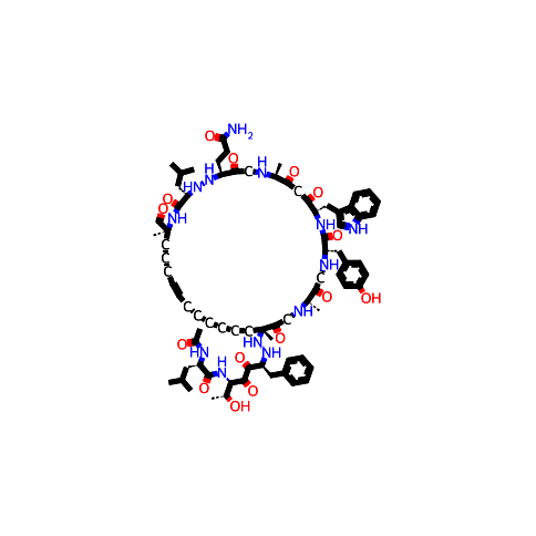 CC(=O)N[C@@H](CC(C)C)C(=O)N[C@H](C(=O)C(=O)[C@H](Cc1ccccc1)NN[C@]1(C)CCCCCCC=CCCC[C@@](C)(C=O)NC(=O)[C@H](CC(C)C)NN[C@@H](CCC(N)=O)C(=O)CN[C@@H](C)C(=O)CC(=O)[C@H](Cc2c[nH]c3ccccc23)NC(=O)[C@H](Cc2ccc(O)cc2)NCC(=O)[C@H](C)NCC1=O)[C@@H](C)O